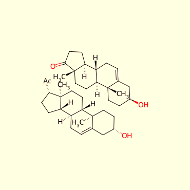 CC(=O)[C@H]1CC[C@H]2[C@@H]3CC=C4C[C@@H](O)CC[C@]4(C)[C@H]3CC[C@]12C.C[C@]12CC[C@H](O)CC1=CC[C@@H]1[C@@H]2CC[C@]2(C)C(=O)CC[C@@H]12